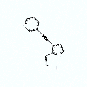 O/N=C\c1occc1C#Cc1cccnc1